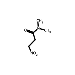 CN(C)C(=O)CC[N+](=O)[O-]